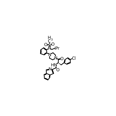 CC(C)CN(c1ccccc1N1CCN(C(=O)[C@@H](Cc2ccc(Cl)cc2)NC(=O)c2cc3ccccc3cn2)CC1)S(C)(=O)=O